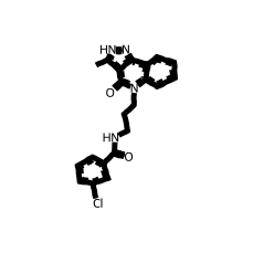 Cc1[nH]nc2c1c(=O)n(CCCNC(=O)c1cccc(Cl)c1)c1ccccc21